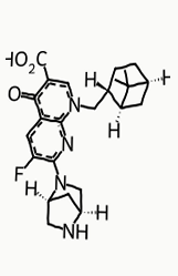 CC1(C)[C@H]2CC[C@@H](Cn3cc(C(=O)O)c(=O)c4cc(F)c(N5C[C@@H]6C[C@H]5CN6)nc43)[C@@H]1C2